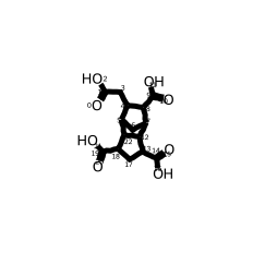 O=C(O)CC1C2CC(C1C(=O)O)C1C(C(=O)O)CC(C(=O)O)C21